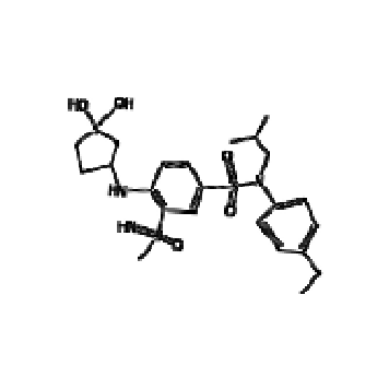 CCc1ccc(N(CC(C)C)S(=O)(=O)c2ccc(NC3CCS(O)(O)C3)c(S(C)(=N)=O)c2)cc1